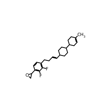 CC1=CCC(C2CCC(/C=C/CCc3ccc(C4CO4)c(F)c3F)CC2)CC1